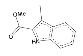 COC(=O)c1[nH]c2ccccc2c1I